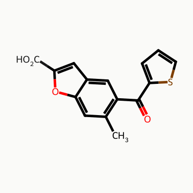 Cc1cc2oc(C(=O)O)cc2cc1C(=O)c1cccs1